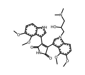 COc1ccc2[nH]cc(C3=C(c4cn(CC(O)CN(C)C)c5ccc(OC)c(OC)c45)C(=O)NC3=O)c2c1OC